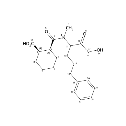 CN(C(=O)[C@H]1CCCC[C@H]1C(=O)O)C(CCCc1ccccc1)C(=O)NO